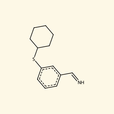 N=Cc1cccc(SC2CCCCC2)c1